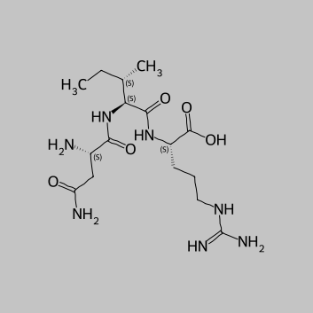 CC[C@H](C)[C@H](NC(=O)[C@@H](N)CC(N)=O)C(=O)N[C@@H](CCCNC(=N)N)C(=O)O